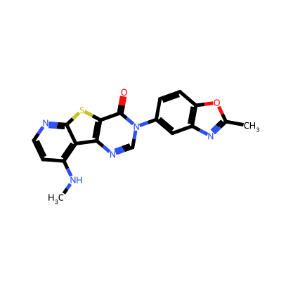 CNc1ccnc2sc3c(=O)n(-c4ccc5oc(C)nc5c4)cnc3c12